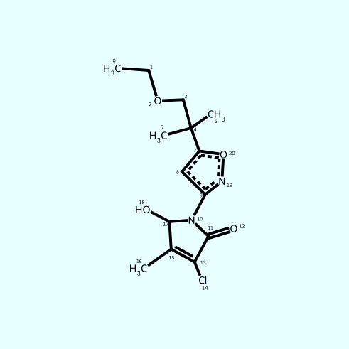 CCOCC(C)(C)c1cc(N2C(=O)C(Cl)=C(C)C2O)no1